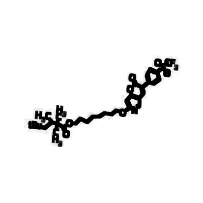 CC(CC(C)(C)C)C(C)(C)C(=O)OCCCCCCCCOc1cc2oc(=O)c(-c3ccc(S(=O)(=O)C(F)(F)F)cc3)cc2cn1